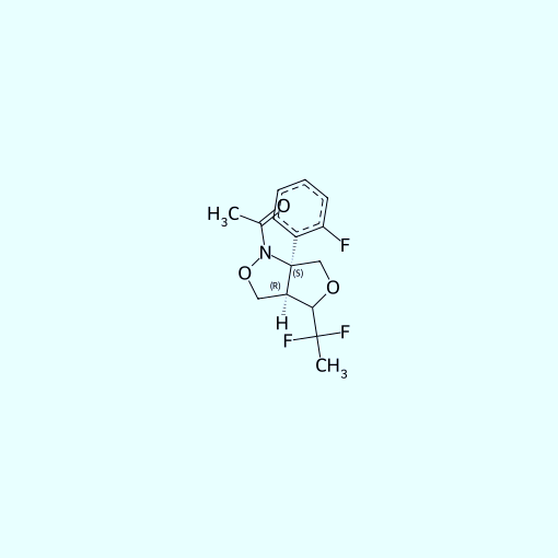 CC(=O)N1OC[C@@H]2C(C(C)(F)F)OC[C@@]21c1ccccc1F